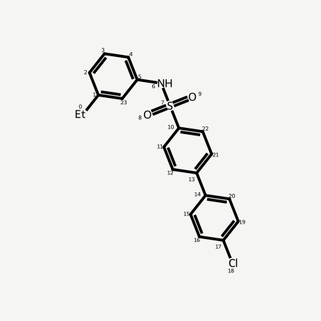 CCc1cccc(NS(=O)(=O)c2ccc(-c3ccc(Cl)cc3)cc2)c1